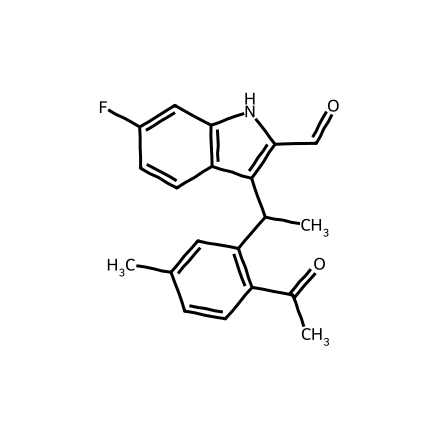 CC(=O)c1ccc(C)cc1C(C)c1c(C=O)[nH]c2cc(F)ccc12